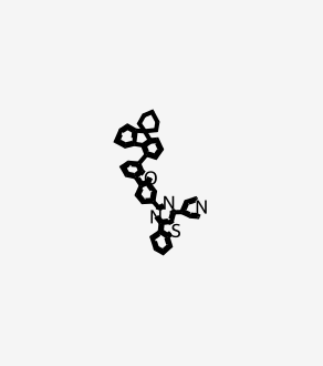 c1ccc2c(c1)-c1c(-c3cccc4c3oc3cc(-c5nc(-c6ccncc6)c6sc7ccccc7c6n5)ccc34)cccc1C21CCCCC1